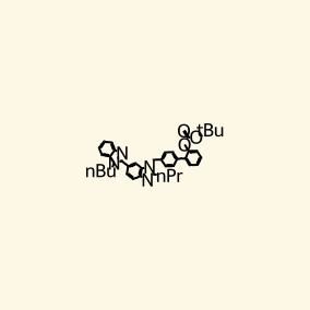 CCCCn1c(-c2ccc3nc(CCC)n(Cc4ccc(-c5ccccc5OC(=O)OC(C)(C)C)cc4)c3c2)nc2ccccc21